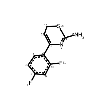 NC1=NC(c2ccc(F)cc2F)=CCS1